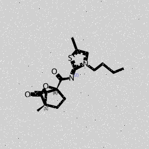 CCCCn1cc(C)s/c1=N\C(=O)[C@]12CC[C@](C)(C(=O)O1)C2(C)C